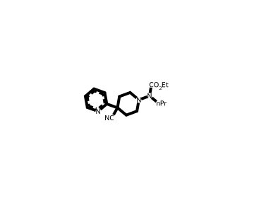 CCCN(C(=O)OCC)N1CCC(C#N)(c2ccccn2)CC1